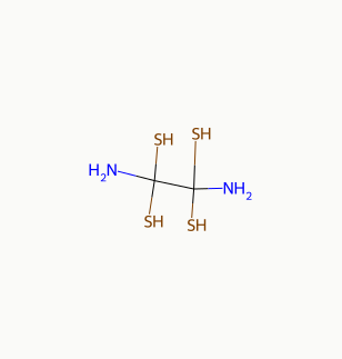 NC(S)(S)C(N)(S)S